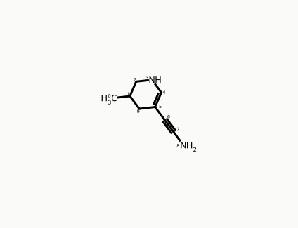 CC1CNC=C(C#CN)C1